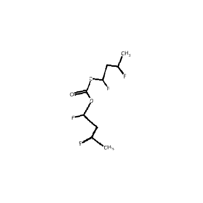 CC(F)CC(F)OC(=O)OC(F)CC(C)F